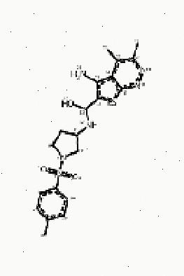 Cc1ccc(S(=O)(=O)N2CCC(NC(O)c3sc4nnc(C)c(C)c4c3N)C2)cc1